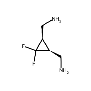 NC[C@@H]1[C@H](CN)C1(F)F